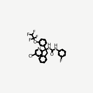 O=C(Nc1cccc(F)c1)NC(Cc1ccccc1)(c1cccc(OC(F)(F)C(F)F)c1)c1ccc(Cl)cn1